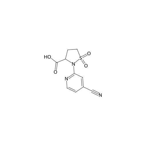 N#Cc1ccnc(N2C(C(=O)O)CCS2(=O)=O)c1